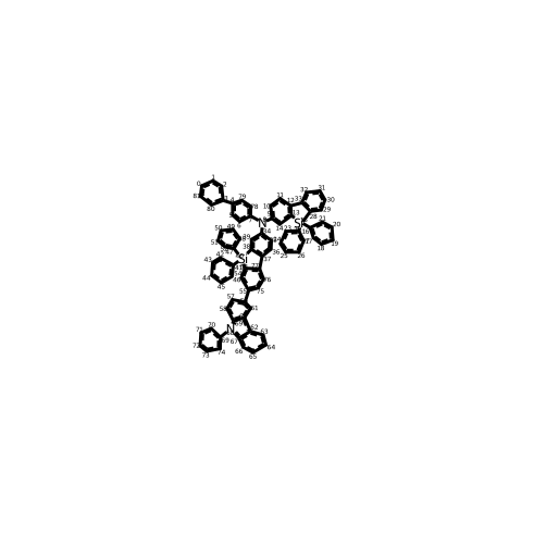 c1ccc(-c2ccc(N(c3ccc4c(c3)[Si](c3ccccc3)(c3ccccc3)c3ccccc3-4)c3ccc4c(c3)[Si](c3ccccc3)(c3ccccc3)c3cc(-c5ccc6c(c5)c5ccccc5n6-c5ccccc5)ccc3-4)cc2)cc1